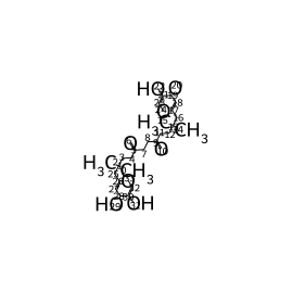 CC(C)(CCC(=O)CCC(=O)CCC(C)(C)Cc1cc(=O)c(O)co1)CC1=CC(O)C(O)=CO1